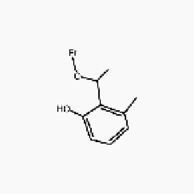 CCOC(C)c1c(C)cccc1O